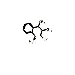 C=Nc1ccccc1C(C)C(C)CC(C)(C)C